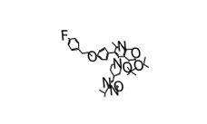 Cc1nc(C)c(C(OC(C)(C)C)C(=O)OC(C)C)c(N2CCC(c3nc(C(C)C)no3)CC2)c1-c1ccc(OCCc2ccc(F)cc2)cc1